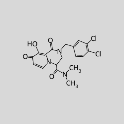 CN(C)C(=O)C1CN(Cc2ccc(Cl)c(Cl)c2)C(=O)c2c(O)c(=O)ccn21